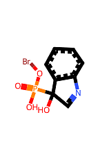 O=P(O)(OBr)C1(O)C=Nc2ccccc21